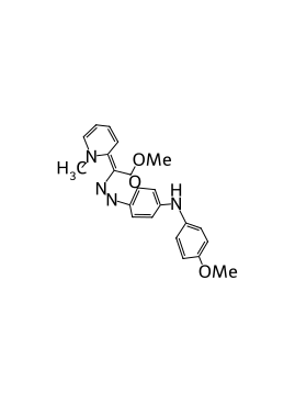 COC(=O)C(/N=N\c1ccc(Nc2ccc(OC)cc2)cc1)=C1\C=CC=CN1C